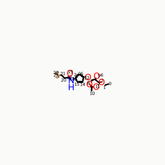 CCOCC(OC)C(OC(C)=O)Oc1ccc(NC(=O)CCSC)cc1